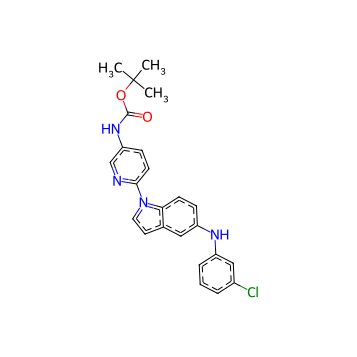 CC(C)(C)OC(=O)Nc1ccc(-n2ccc3cc(Nc4cccc(Cl)c4)ccc32)nc1